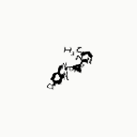 Cc1ccnc([C@H]2C[C@@H]2c2ncc3ccc(Cl)cc3n2)n1